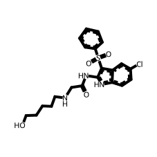 O=C(CNCCCCCO)Nc1[nH]c2ccc(Cl)cc2c1S(=O)(=O)c1ccccc1